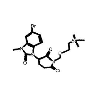 Cn1c(=O)n(C2CCC(=O)N(COCC[Si](C)(C)C)C2=O)c2ccc(Br)cc21